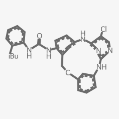 CCC(C)c1ccccc1NC(=O)Nc1ccc2cc1CCc1cccc(c1)Nc1ncc(Cl)c(n1)N2